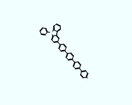 Cc1ccc(-c2ccc(-c3ccc(-c4ccc(-c5ccc6c(c5)c5ccccc5n6-c5ccccc5)cc4)cc3)cc2)cc1